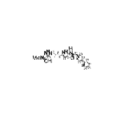 CNC(O)c1cn(CCCCc2ccc(NC(=O)CN3CCC(c4ccccc4)CC3)nn2)nn1